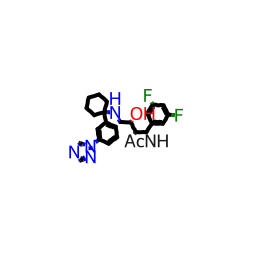 CC(=O)NC(Cc1cc(F)cc(F)c1)C(O)CNC1(c2cccc(-n3cncn3)c2)CCCCC1